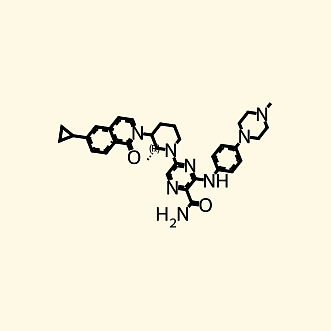 C[C@@H]1C(n2ccc3cc(C4CC4)ccc3c2=O)CCCN1c1cnc(C(N)=O)c(Nc2ccc(N3CCN(C)CC3)cc2)n1